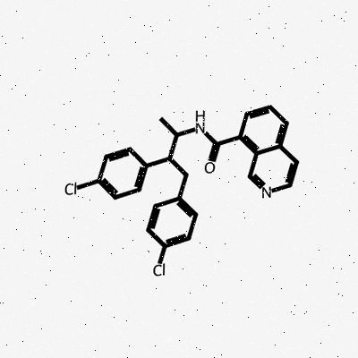 CC(NC(=O)c1cccc2ccncc12)C(Cc1ccc(Cl)cc1)c1ccc(Cl)cc1